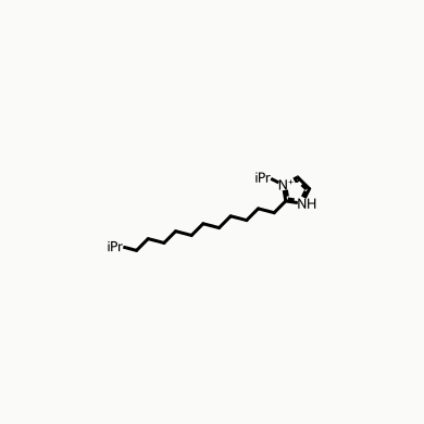 CC(C)CCCCCCCCCCCc1[nH]cc[n+]1C(C)C